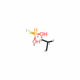 CC(C)C.O[PH](O)=S